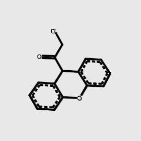 O=C(CCl)C1c2ccccc2Oc2ccccc21